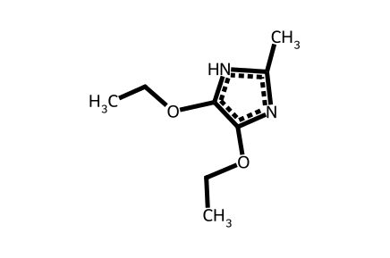 CCOc1nc(C)[nH]c1OCC